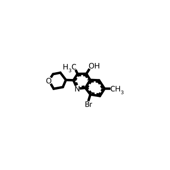 Cc1cc(Br)c2nc(C3CCOCC3)c(C)c(O)c2c1